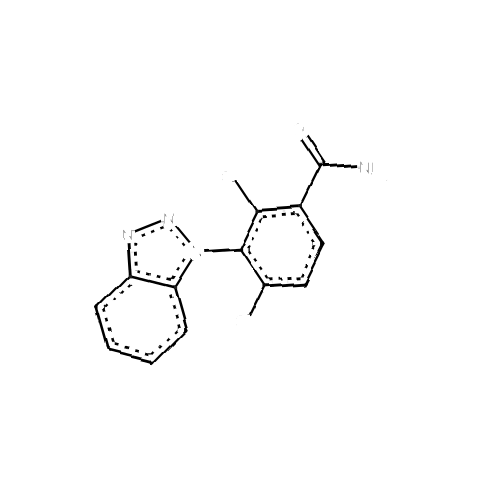 NC(=O)c1ccc(Cl)c(-n2nnc3ccccc32)c1Cl